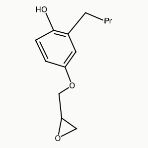 CC(C)Cc1cc(OCC2CO2)ccc1O